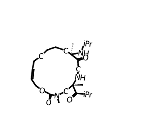 CC(C)N[C@]1(C)CCCCC/C=C\COC(=O)N(C)C[C@@](C)(C(=O)C(C)C)NCC1=O